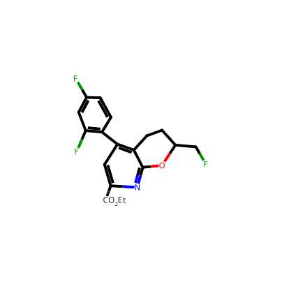 CCOC(=O)c1cc(-c2ccc(F)cc2F)c2c(n1)OC(CF)CC2